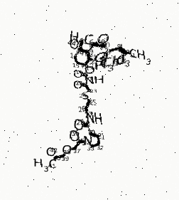 CO[C@H]1[C@H](C2(C)O[C@@H]2CC=C(C)C)[C@]2(CC[C@H]1OC(=O)NC(=O)CSCCNC(=O)[C@@H]1CCCN1C(=O)COCC(C)=O)CO2